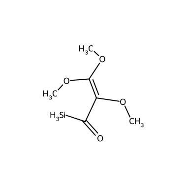 COC(OC)=C(OC)C(=O)[SiH3]